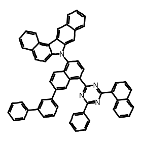 c1ccc(-c2cccc(-c3ccc4c(-n5c6cc7ccccc7cc6c6c7ccccc7ccc65)ccc(-c5nc(-c6ccccc6)nc(-c6cccc7ccccc67)n5)c4c3)c2)cc1